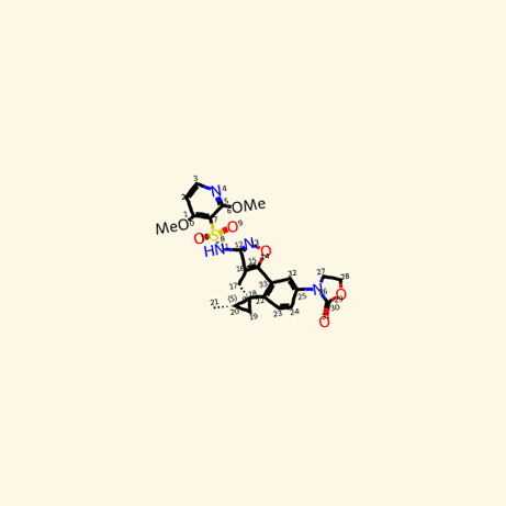 COc1ccnc(OC)c1S(=O)(=O)Nc1noc2c1C[C@@]1(C[C@@H]1C)c1ccc(N3CCOC3=O)cc1-2